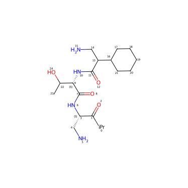 CC(C)C(=O)[C@H](CN)NC(=O)[C@@H](NC(=O)C(CN)C1CCCCC1)C(C)O